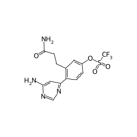 NC(=O)CCc1cc(OS(=O)(=O)C(F)(F)F)ccc1-c1cc(N)ncn1